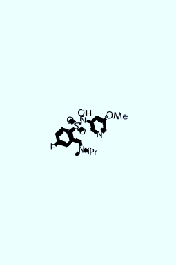 COc1cncc(N(O)S(=O)(=O)c2ccc(F)cc2CN(C)C(C)C)c1